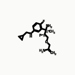 C=C(N)COC[C@H](F)[C@](C)(N)c1cc(NCC2CC2)ccc1F